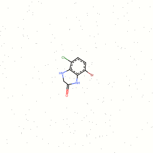 O=C1CNc2c(Cl)ccc(Br)c2N1